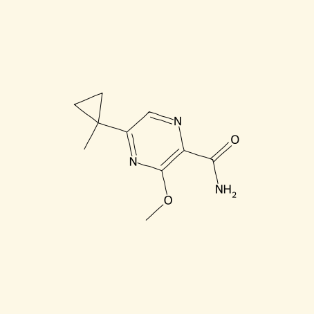 COc1nc(C2(C)CC2)cnc1C(N)=O